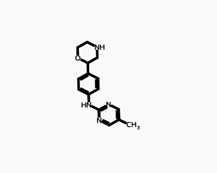 Cc1cnc(Nc2ccc(C3CNCCO3)cc2)nc1